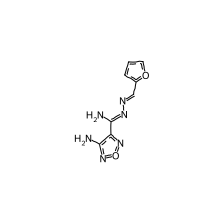 N/C(=N\N=C\c1ccco1)c1nonc1N